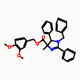 COc1ccc(COC(=O)C2(C)N=C(c3ccccc3)N(Cc3ccccc3)C2c2ccccc2)cc1OC